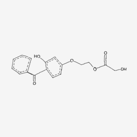 O=C(CO)OCCOc1ccc(C(=O)c2ccccc2)c(O)c1